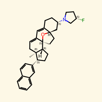 C[C@]12CC=C3C=C4CC[C@H](N5CC[C@H](F)C5)C[C@]45CC[C@]3(O5)[C@@H]1CC[C@@H]2c1ccc2ccccc2c1